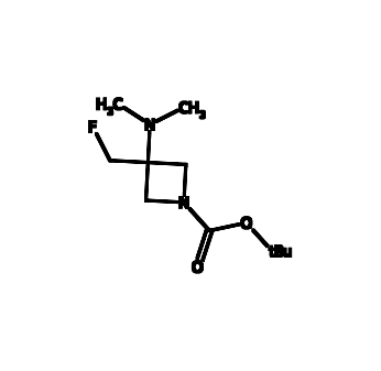 CN(C)C1(CF)CN(C(=O)OC(C)(C)C)C1